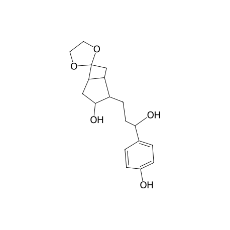 Oc1ccc(C(O)CCC2C(O)CC3C2CC32OCCO2)cc1